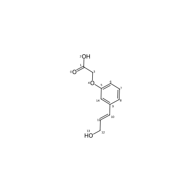 O=C(O)COc1cccc(C=CCO)c1